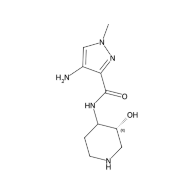 Cn1cc(N)c(C(=O)NC2CCNC[C@H]2O)n1